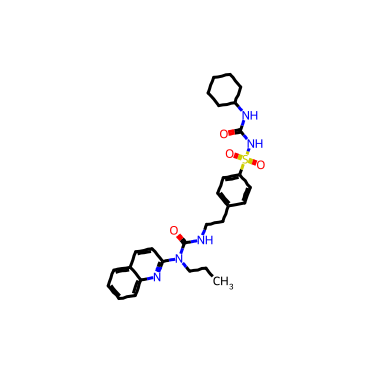 CCCN(C(=O)NCCc1ccc(S(=O)(=O)NC(=O)NC2CCCCC2)cc1)c1ccc2ccccc2n1